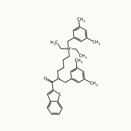 CC[N+](CC)(CCCCN(Cc1cc(C)cc(C)c1)C(=O)c1cc2ccccc2s1)Cc1cc(C)cc(C)c1